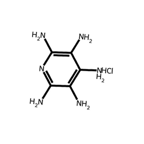 Cl.Nc1nc(N)c(N)c(N)c1N